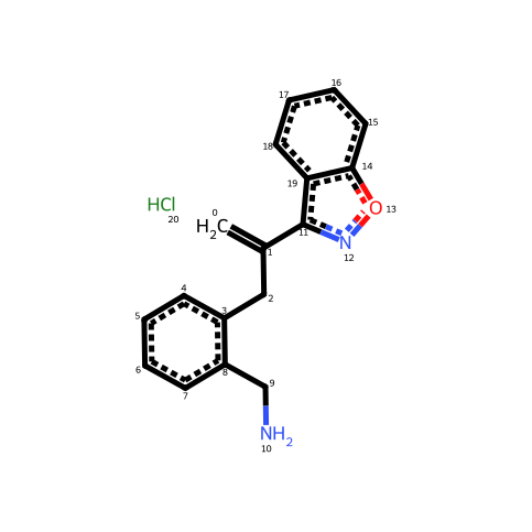 C=C(Cc1ccccc1CN)c1noc2ccccc12.Cl